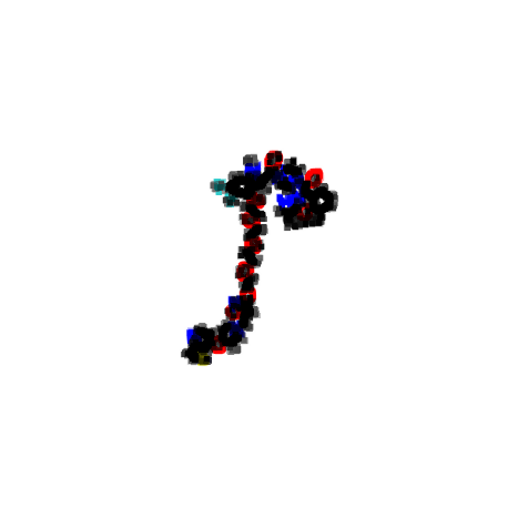 CN[C@@H](C)C(=O)NC(C(=O)N1CCN(C(=O)c2cc3c(OCCOCCOCCOCCOc4cc(CN5CCC(Oc6ccnc7ccsc67)CC5)on4)c(F)c(F)cc3n2C)CC1)C1CCCCC1